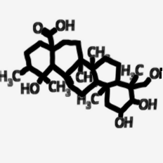 CC1CCC2(C(=O)O)CCC3(C)C(=CCC4C5(C)CC(O)C(O)C(C)(CO)C5CCC43C)C2C1(C)O